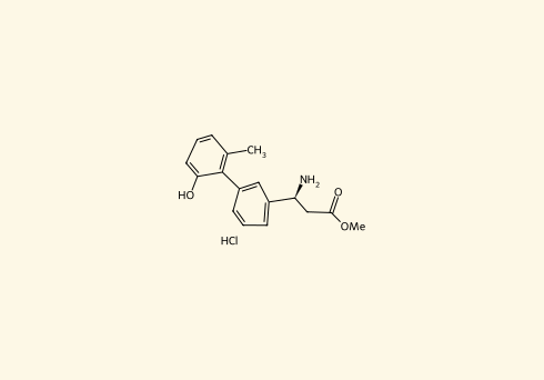 COC(=O)C[C@H](N)c1cccc(-c2c(C)cccc2O)c1.Cl